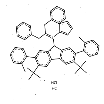 Cc1ccccc1-c1cc2c(cc1C(C)(C)C)-c1cc(C(C)(C)C)c(-c3ccccc3C)cc1[CH]2[Zr]([C]1=CC=CC1)=[C](Cc1ccccc1)Cc1ccccc1.Cl.Cl